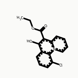 CCOC(=O)c1c(O)c2cccc(Cl)c2[n+]2ccccc12